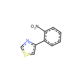 O=[N+]([O-])c1ccccc1-c1cscn1